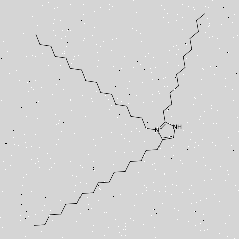 CCCCCCCCCCCCCCCCc1c[nH]c(CCCCCCCCCCCC)[n+]1CCCCCCCCCCCCCCCC